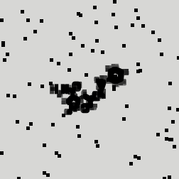 CN1C[C@@H](CC(=C=N[C@H]2C[C@@H]2c2ccccc2)C=O)[C@H](C(N)=O)C1